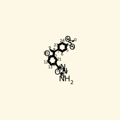 CS(=O)(=O)c1ccc(-c2coc3ccc(-c4nnc(N)o4)cc23)cc1